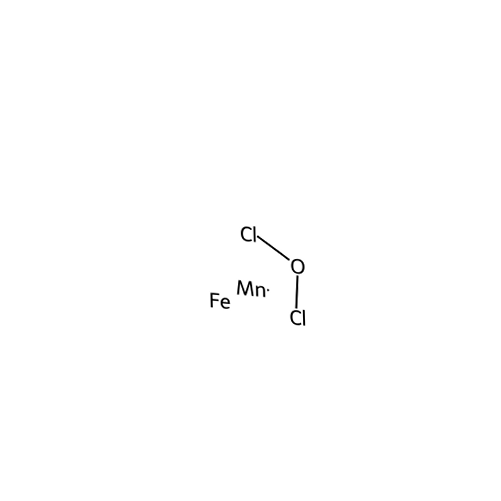 ClOCl.[Fe].[Mn]